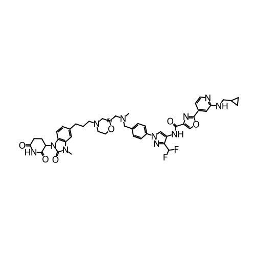 CN(Cc1ccc(-n2cc(NC(=O)c3coc(-c4ccnc(NCC5CC5)c4)n3)c(C(F)F)n2)cc1)C[C@@H]1CN(CCCc2ccc3c(c2)n(C)c(=O)n3C2CCC(=O)NC2=O)CCO1